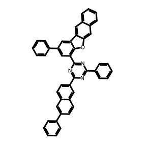 c1ccc(-c2ccc3cc(-c4nc(-c5ccccc5)nc(-c5cc(-c6ccccc6)cc6c5oc5cc7ccccc7cc56)n4)ccc3c2)cc1